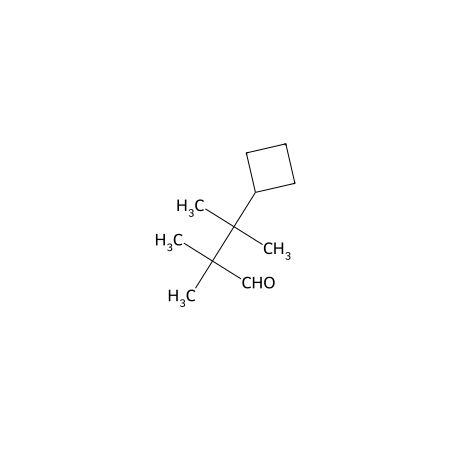 CC(C)(C=O)C(C)(C)C1CCC1